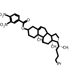 CC(C)CCC[C@@H](C)[C@H]1CCC2C3CC=C4CC(OC(=O)c5ccc([N+](=O)[O-])c([N+](=O)[O-])c5)CC[C@]4(C)C3CC[C@@]21C